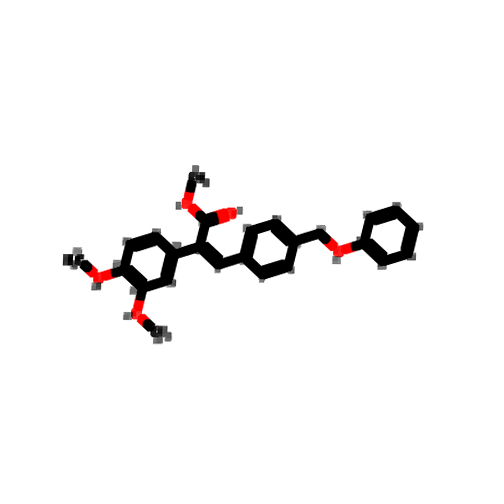 COC(=O)C(=Cc1ccc(COc2ccccc2)cc1)c1ccc(OC)c(OC)c1